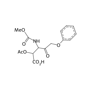 COC(=O)NC(C(=O)COc1ccccc1)C(OC(C)=O)C(=O)O